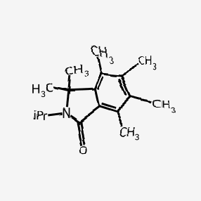 Cc1c(C)c(C)c2c(c1C)C(=O)N(C(C)C)C2(C)C